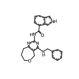 O=C(Nc1nc2c(c(NCc3ccccc3)n1)COCCC2)c1cccc2c[nH]cc12